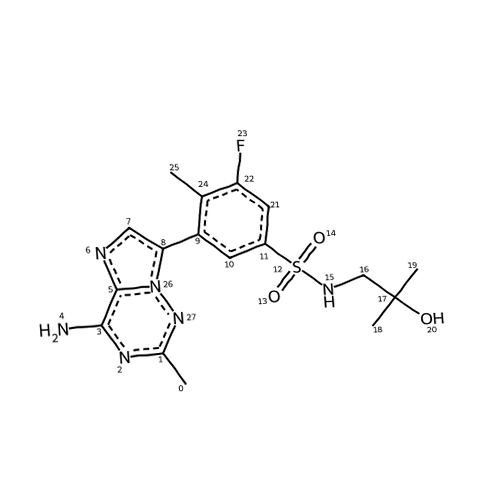 Cc1nc(N)c2ncc(-c3cc(S(=O)(=O)NCC(C)(C)O)cc(F)c3C)n2n1